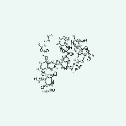 CCCCCC(C)OC(=O)COc1ccc(Cl)c2cccnc12.COc1ncc(F)c2nc(S(=O)(=O)Nc3c(F)cccc3F)nn12.Cc1nn(C)c(O)c1C(=O)c1ccc(C(F)(F)F)cc1S(C)(=O)=O.Nc1cc(Cl)nc(C(=O)O)c1Cl